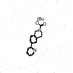 CC(C)(C)OC(=O)N1CCc2cc(-c3ccccn3)ccc2C1